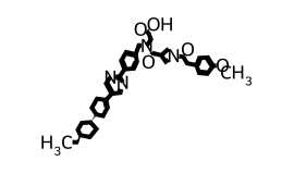 CC[C@H]1CC[C@H](C2CC=C(c3cnc(-c4ccc(CN(CC(=O)O)C(=O)C5CN(C(=O)Cc6ccc(OC)cc6)C5)cc4)nc3)CC2)CC1